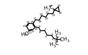 CC(C)(C)CCCCCCc1cc(O)ccc1CCCCCCC1(C)CC1